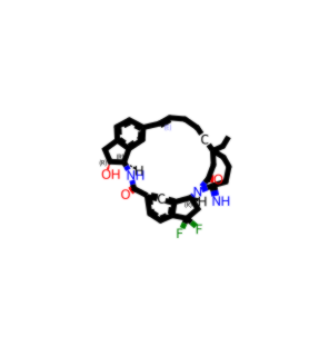 CCC12CCC/C=C/c3ccc4c(c3)[C@@H](NC(=O)c3ccc5c(c3)[C@@H](CC5(F)F)N(C(=N)CCC1)C(=O)C2)[C@H](O)C4